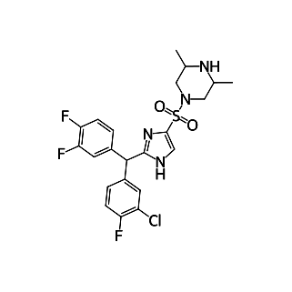 CC1CN(S(=O)(=O)c2c[nH]c(C(c3ccc(F)c(F)c3)c3ccc(F)c(Cl)c3)n2)CC(C)N1